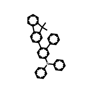 CC1(C)c2ccccc2-c2ccc(-c3ccc(N(c4ccccc4)c4ccccc4)cc3-c3ccccc3)cc21